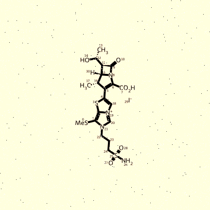 CSc1c2sc(C3=C(C(=O)O)N4C(=O)[C@H]([C@@H](C)O)[C@H]4[C@H]3C)c[n+]2cn1CCCS(N)(=O)=O.[I-]